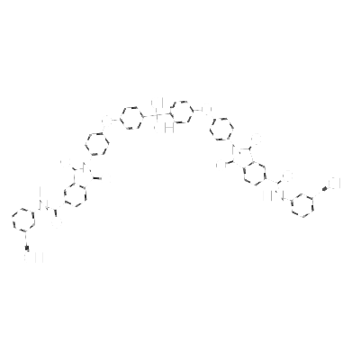 C#Cc1cccc(NC(=O)c2ccc3c(c2)C(=O)N(c2ccc(Oc4ccc(C(C)(C)c5ccc(Oc6ccc(N7C(=O)c8ccc(C(=O)Nc9cccc(C#C)c9)cc8C7=O)cc6)cc5)cc4)cc2)C3=O)c1